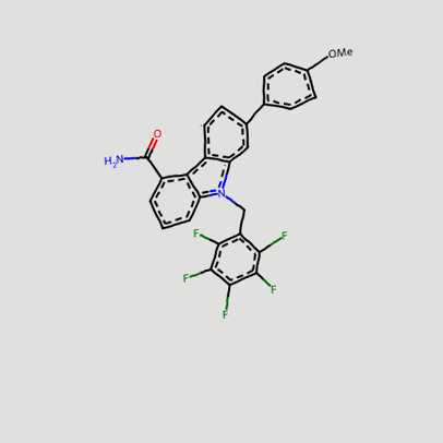 COc1ccc(-c2c[c]c3c4c(C(N)=O)cccc4n(Cc4c(F)c(F)c(F)c(F)c4F)c3c2)cc1